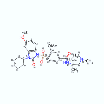 CCOc1ccc2c(c1)n(C1CCCCC1)c(=O)n2S(=O)(=O)c1ccc(C(=O)NC(C)(C)CN(C)C)cc1OC